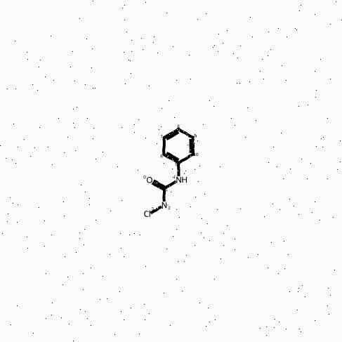 O=C([N]Cl)Nc1ccccc1